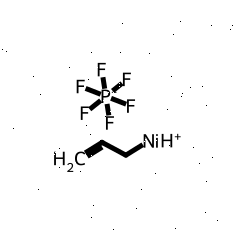 C=C[CH2][Ni].F[P-](F)(F)(F)(F)F.[H+]